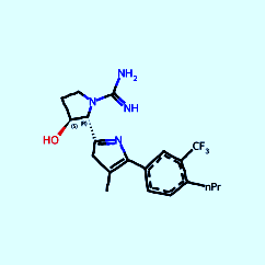 CCCc1ccc(C2=C(C)CC([C@@H]3[C@@H](O)CCN3C(=N)N)=N2)cc1C(F)(F)F